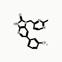 Cc1nccc(Cn2c(=O)[nH]c3ncc(-c4cccc(C(F)(F)F)c4)cc32)n1